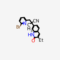 CCc1cc2ccc(C(C)(C#N)Cc3cccc(Br)n3)cc2[nH]c1=O